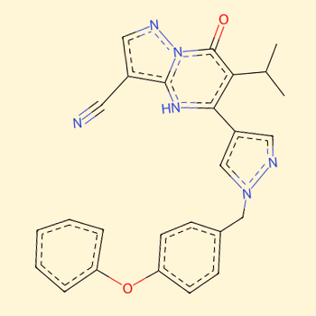 CC(C)c1c(-c2cnn(Cc3ccc(Oc4ccccc4)cc3)c2)[nH]c2c(C#N)cnn2c1=O